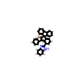 c1ccc2c(c1)-c1ccccc1C21c2cccc(-c3nc4ccccc4[nH]3)c2-c2c1sc1ccccc21